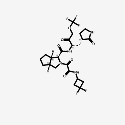 O=C(NC1CC(F)(F)C1)C(=O)N1C[C@@H]2CCC[C@@H]2[C@H]1C(=O)N[C@@H](C[C@@H]1CCNC1=O)C(=O)COC(F)(F)F